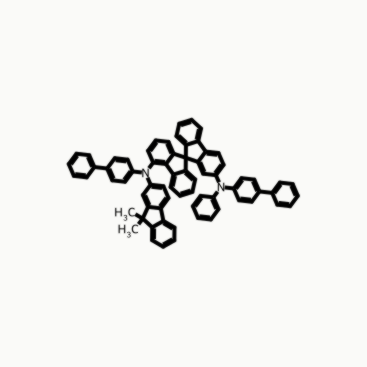 CC1(C)c2ccccc2-c2ccc(N(c3ccc(-c4ccccc4)cc3)c3cccc4c3-c3ccccc3C43c4ccccc4-c4ccc(N(c5ccccc5)c5ccc(-c6ccccc6)cc5)cc43)cc21